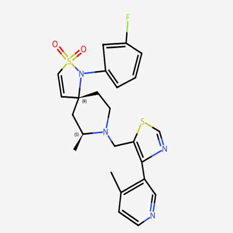 Cc1ccncc1-c1ncsc1CN1CC[C@]2(C=CS(=O)(=O)N2c2cccc(F)c2)C[C@@H]1C